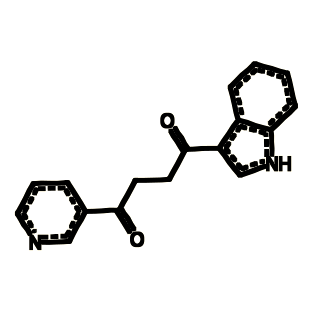 O=C(CCC(=O)c1c[nH]c2ccccc12)c1cccnc1